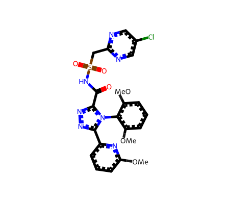 COc1cccc(-c2nnc(C(=O)NS(=O)(=O)Cc3ncc(Cl)cn3)n2-c2c(OC)cccc2OC)n1